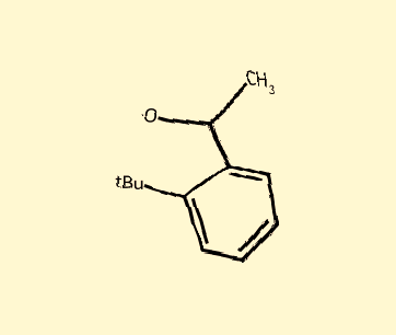 CC([O])c1ccccc1C(C)(C)C